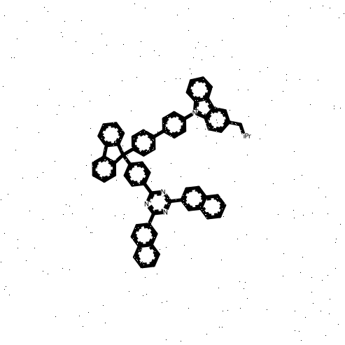 CC(C)Cc1ccc2c(c1)c1ccccc1n2-c1ccc(-c2ccc(C3(c4ccc(-c5nc(-c6ccc7ccccc7c6)nc(-c6ccc7ccccc7c6)n5)cc4)c4ccccc4-c4ccccc43)cc2)cc1